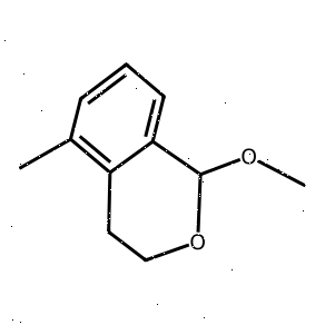 COC1OCCc2c(C)cccc21